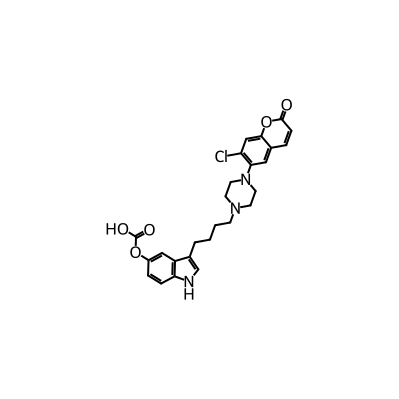 O=C(O)Oc1ccc2[nH]cc(CCCCN3CCN(c4cc5ccc(=O)oc5cc4Cl)CC3)c2c1